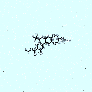 CCOC(=O)c1cn2c(cc1=O)-c1cc3c(cc1CC2C(C)(C)C)OCC(OPI)CO3